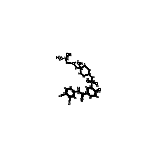 C[C@H](O)COCC1(O)CCC(CS(=O)(=O)c2cc(C(=O)Nc3ccc(F)c(F)c3)ccc2Cl)CC1